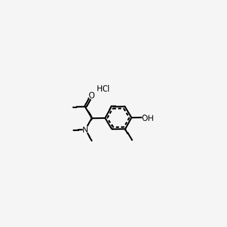 CC(=O)C(c1ccc(O)c(C)c1)N(C)C.Cl